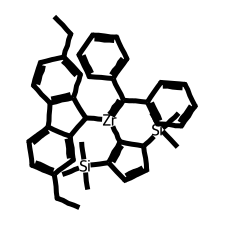 CCc1ccc2c(c1)[CH]([Zr]([C]1=C([Si](C)(C)C)C=CC1[Si](C)(C)C)=[C](c1ccccc1)c1ccccc1)c1cc(CC)ccc1-2